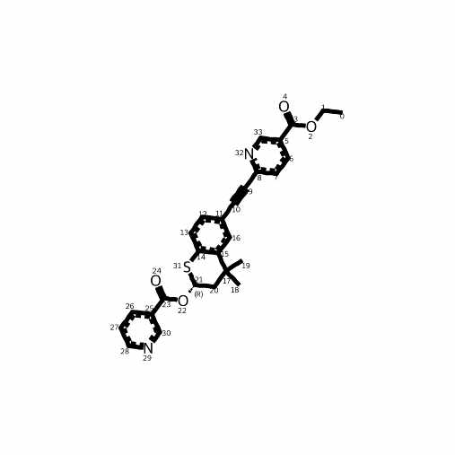 CCOC(=O)c1ccc(C#Cc2ccc3c(c2)C(C)(C)C[C@H](OC(=O)c2cccnc2)S3)nc1